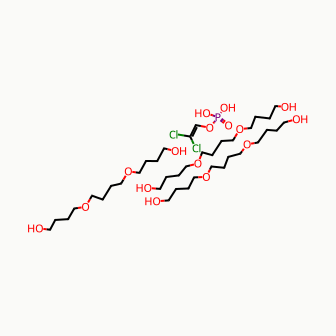 O=P(O)(O)OC=C(Cl)Cl.OCCCCOCCCCOCCCCO.OCCCCOCCCCOCCCCO.OCCCCOCCCCOCCCCO